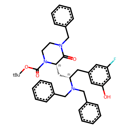 CC(C)(C)OC(=O)N1CCN(Cc2ccccc2)C(=O)[C@@H]1C[C@H](Cc1cc(O)cc(F)c1)N(Cc1ccccc1)Cc1ccccc1